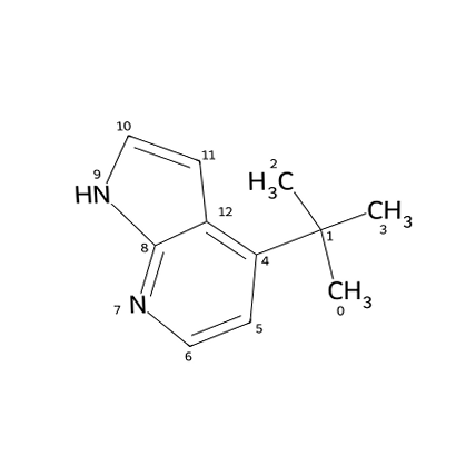 CC(C)(C)c1ccnc2[nH]ccc12